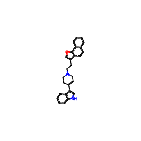 C1=C(c2c[nH]c3ccccc23)CCN(CCc2coc3c2ccc2ccccc23)C1